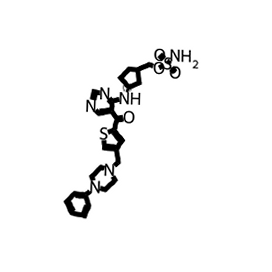 NS(=O)(=O)OCC1CC[C@H](Nc2ncncc2C(=O)c2cc(CN3CCN(c4ccccc4)CC3)cs2)C1